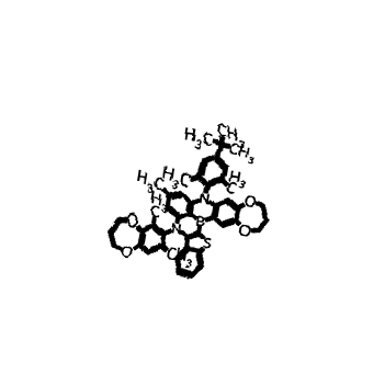 Cc1cc2c3c(c1)N(c1c(C)cc4c(c1C)OCCCO4)c1c(sc4ccccc14)B3c1cc3c(cc1N2c1c(C)cc(C(C)(C)C)cc1C)OCCCO3